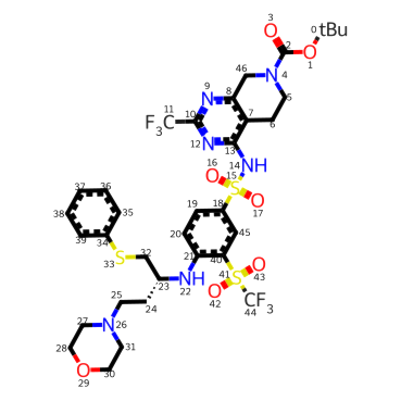 CC(C)(C)OC(=O)N1CCc2c(nc(C(F)(F)F)nc2NS(=O)(=O)c2ccc(N[C@H](CCN3CCOCC3)CSc3ccccc3)c(S(=O)(=O)C(F)(F)F)c2)C1